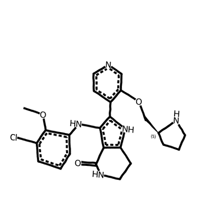 COc1c(Cl)cccc1Nc1c(-c2ccncc2OC[C@@H]2CCCN2)[nH]c2c1C(=O)NCC2